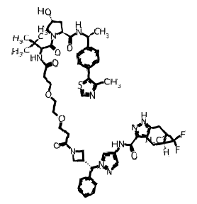 Cc1ncsc1-c1ccc([C@H](C)NC(=O)[C@@H]2C[C@@H](O)CN2C(=O)C(NC(=O)CCOCCOCCC(=O)N2CC([C@@H](c3ccccc3)n3cc(NC(=O)c4n[nH]c5c4C[C@@H]4C(F)(F)[C@]4(C)C5)cn3)C2)C(C)(C)C)cc1